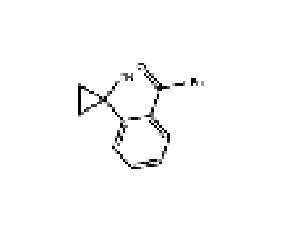 CC(C)(C)C(=O)c1ccccc1C1(C#N)CC1